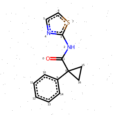 O=C(Nc1nccs1)C1(c2ccccc2)CC1